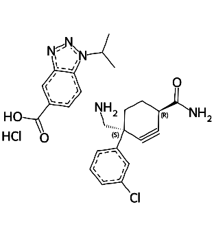 CC(C)n1nnc2cc(C(=O)O)ccc21.Cl.NC[C@@]1(c2cccc(Cl)c2)C#C[C@H](C(N)=O)CC1